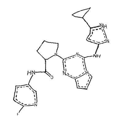 O=C(Nc1ccc(F)nc1)C1CCCN1c1nc(Nc2cc(C3CC3)[nH]n2)n2cccc2n1